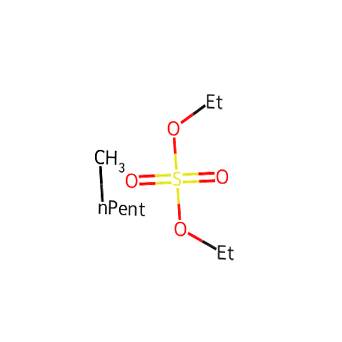 CCCCCC.CCOS(=O)(=O)OCC